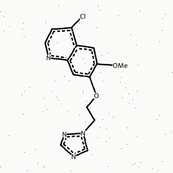 COc1cc2c(Cl)ccnc2cc1OCCn1cncn1